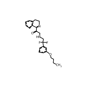 CCCCOc1cccc(C(F)(F)CNCC(=O)C2=NCCc3ccccc32)c1